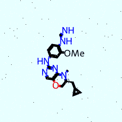 COc1cc(Nc2ncc3c(n2)N(C)[C@@H](CC2CC2)CO3)ccc1NC=N